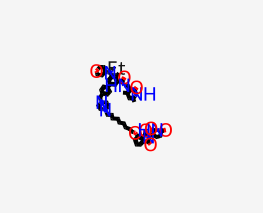 CCN(c1cc(-c2ccc(CN3CCN(CCCCCCCCCOc4cccc5c4C(=O)N(C4CCC(=O)NC4=O)C5=O)CC3)cc2)cc(C(=O)NCc2c(C)cc(C)[nH]c2=O)c1C)C1CCOCC1